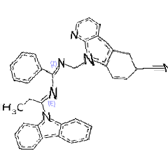 CC/C(=N\C(=N/Cn1c2c(c3cccnc31)CC(C#N)C=C2)c1ccccc1)n1c2ccccc2c2ccccc21